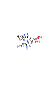 CC(C)(N)C(=O)N1C[C@@]2(CCCB(O)O)CCN[C@@]2(C(=O)O)C1